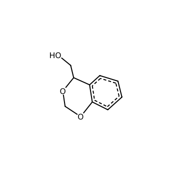 OCC1OCOc2ccccc21